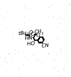 CC(C)(C)CC(=O)N[C@H]1[C@H](O)c2cc(C#N)ccc2OC1(C)C